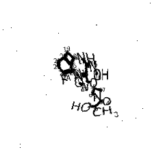 C[C@H](O)C(=O)N1CC(Oc2nonc2/C(=N\O)N[C@H]2Cc3ccc(F)cc32)C1